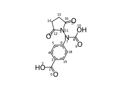 O=C(O)c1ccc(N(C(=O)O)N2C(=O)CCC2=O)cc1